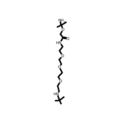 CC(C)(C)NCCOCCOCCOCCNC(=O)COC(C)(C)N